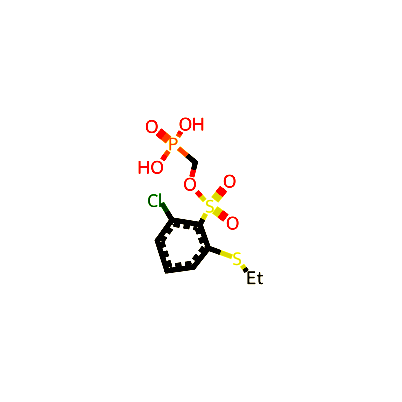 CCSc1cccc(Cl)c1S(=O)(=O)OCP(=O)(O)O